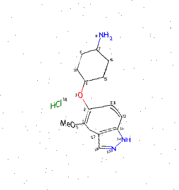 COc1c(OC2CCC(N)CC2)ccc2[nH]ncc12.Cl